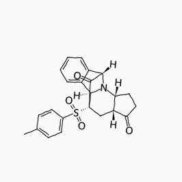 Cc1ccc(S(=O)(=O)[C@]23C[C@H]4C(=O)CC[C@H]4N4[C@H](C2=O)c2ccccc2[C@@H]43)cc1